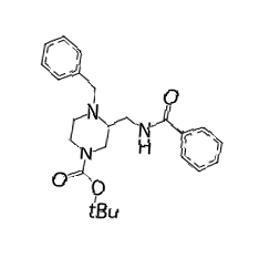 CC(C)(C)OC(=O)N1CCN(Cc2ccccc2)C(CNC(=O)c2ccccc2)C1